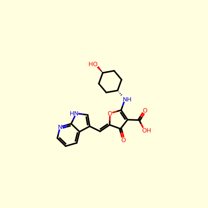 O=C(O)C1=C(N[C@H]2CC[C@H](O)CC2)O/C(=C\c2c[nH]c3ncccc23)C1=O